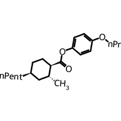 CCCCC[C@H]1CC[C@@H](C(=O)Oc2ccc(OCCC)cc2)[C@H](C)C1